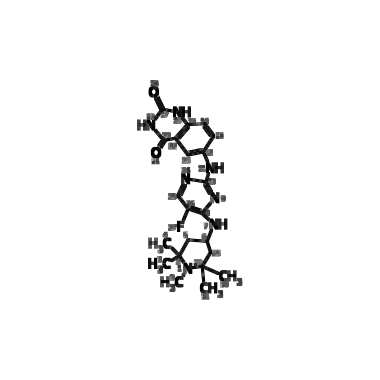 CN1C(C)(C)CC(Nc2nc(Nc3ccc4[nH]c(=O)[nH]c(=O)c4c3)ncc2F)CC1(C)C